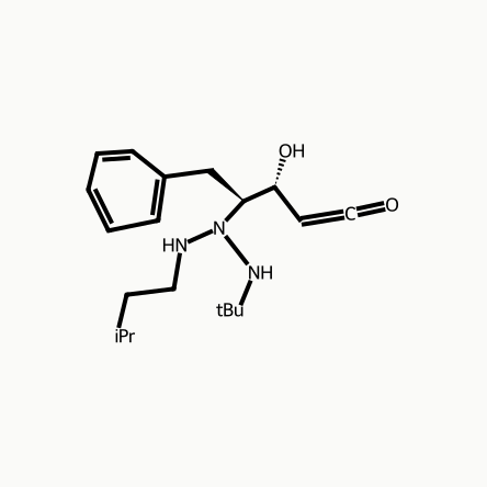 CC(C)CCNN(NC(C)(C)C)[C@@H](Cc1ccccc1)[C@H](O)C=C=O